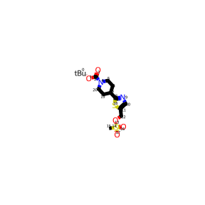 CC(C)(C)OC(=O)N1CCC(c2ncc(COS(C)(=O)=O)s2)CC1